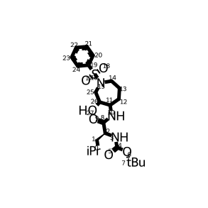 CC(C)C[C@H](NC(=O)OC(C)(C)C)C(=O)NC1CCCN(S(=O)(=O)c2ccccc2)CC1O